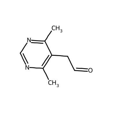 Cc1ncnc(C)c1CC=O